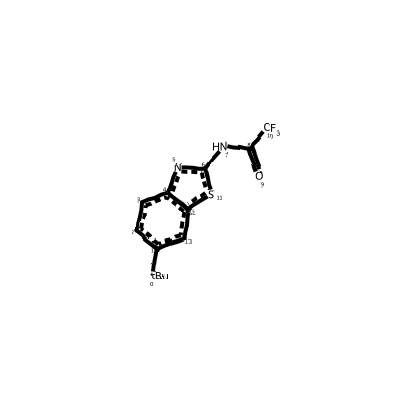 CC(C)(C)c1ccc2nc(NC(=O)C(F)(F)F)sc2c1